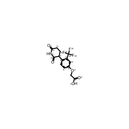 O=C(O)COc1ccc(C2CCC(=O)NC2=O)c(C(F)(F)F)c1